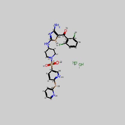 Cl.Cl.Nc1nc(NC2CCN(S(=O)(=O)c3ccc(Sc4ccccn4)nc3)CC2)sc1C(=O)c1c(F)cccc1F